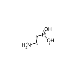 NCCP(O)O